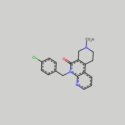 O=C(O)N1CCc2c(c(=O)n(Cc3ccc(Cl)cc3)c3ncccc23)C1